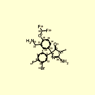 CN1C(=O)C(c2ccc(F)c(Br)c2)(c2ccc(OC(F)F)c(CN)c2)N=C1N